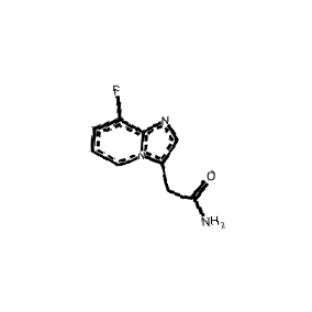 NC(=O)Cc1cnc2c(F)cccn12